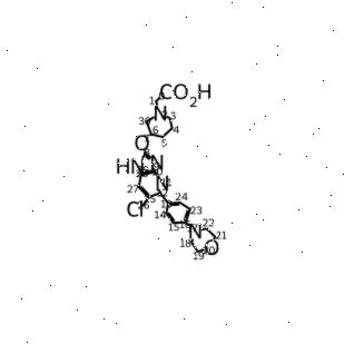 O=C(O)CN1CCC[C@H](Oc2nc3nc(-c4ccc(N5CCOCC5)cc4)c(Cl)cc3[nH]2)C1